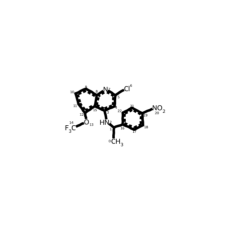 CC(Nc1cc(Cl)nc2cccc(OC(F)(F)F)c12)c1ccc([N+](=O)[O-])cc1